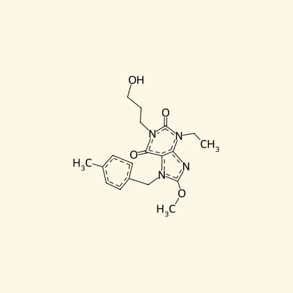 CCn1c(=O)n(CCCO)c(=O)c2c1nc(OC)n2Cc1ccc(C)cc1